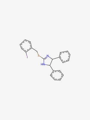 Ic1ccccc1CSC1=NC(c2ccccc2)C(c2ccccc2)N1